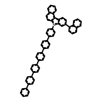 c1ccc(-c2ccc(-c3ccc(-c4ccc(-c5ccc(-c6ccc(-n7c8cc(-c9cccc%10ccccc9%10)ccc8c8c9ccccc9ccc87)cc6)cc5)cc4)cc3)cc2)cc1